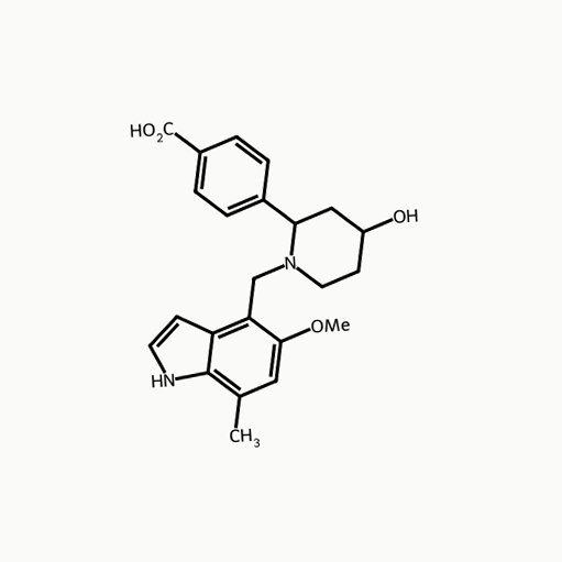 COc1cc(C)c2[nH]ccc2c1CN1CCC(O)CC1c1ccc(C(=O)O)cc1